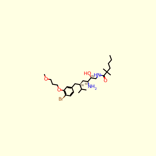 CCCCC(C)(C)C(=O)NC[C@H](O)[C@@H](N)C[C@H](Cc1ccc(Br)c(OCCCOC)c1)C(C)C